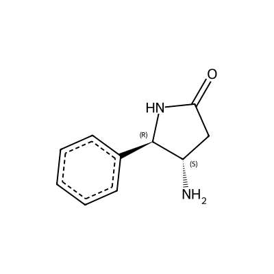 N[C@H]1CC(=O)N[C@@H]1c1ccccc1